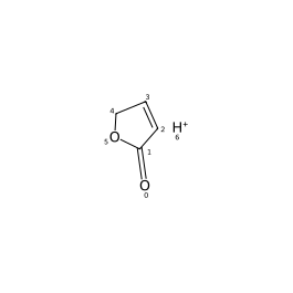 O=C1C=CCO1.[H+]